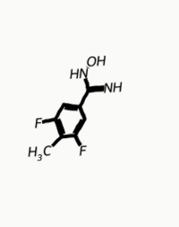 Cc1c(F)cc(C(=N)NO)cc1F